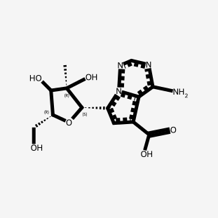 C[C@@]1(O)C(O)[C@@H](CO)O[C@H]1c1cc(C(=O)O)c2c(N)ncnn12